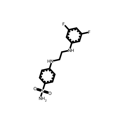 NS(=O)(=O)c1ccc(NCCNc2cc(F)cc(F)c2)cc1